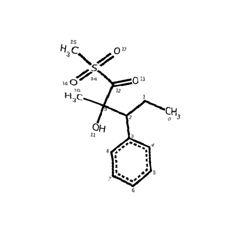 CCC(c1ccccc1)C(C)(O)C(=O)S(C)(=O)=O